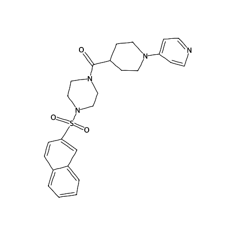 O=C(C1CCN(c2ccncc2)CC1)N1CCN(S(=O)(=O)c2ccc3ccccc3c2)CC1